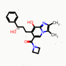 Cc1nc2c(O)c(CC[C@H](O)c3ccccc3)c(C(=O)N3CCC3)cn2c1C